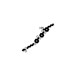 C=CC(=O)OCCCCCCOc1ccc(C(=O)Oc2ccc(C(=O)Oc3ccc(CCCCC)cc3C=N)cc2)cc1